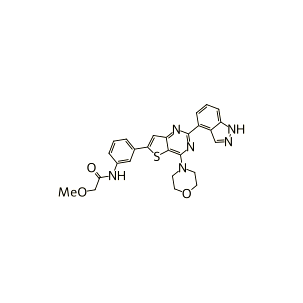 COCC(=O)Nc1cccc(-c2cc3nc(-c4cccc5[nH]ncc45)nc(N4CCOCC4)c3s2)c1